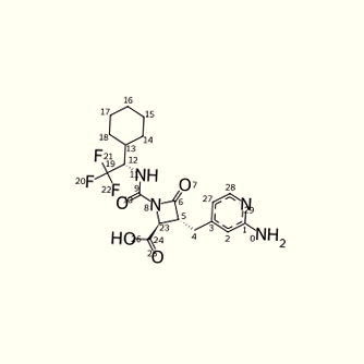 Nc1cc(C[C@H]2C(=O)N(C(=O)N[C@@H](C3CCCCC3)C(F)(F)F)[C@@H]2C(=O)O)ccn1